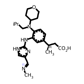 C/N=C/c1c[nH]c(Nc2cc([C@H](C)CC(=O)O)ccc2N(CC(C)C)C2CCOCC2)n1